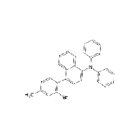 Cc1ccc(-c2ccc(N(c3ccccc3)c3ccccc3)c3ccccc23)c(Br)c1